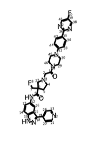 O=C(CN1CCC(CF)(C(=O)Nc2ccc3[nH]nc(-c4ccncc4)c3c2)C1)N1CCN(c2ccc(-c3ncc(F)cn3)cc2)CC1